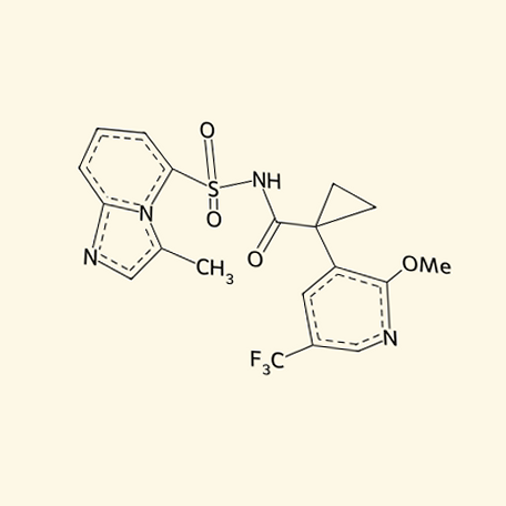 COc1ncc(C(F)(F)F)cc1C1(C(=O)NS(=O)(=O)c2cccc3ncc(C)n23)CC1